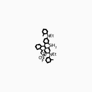 CCN(c1ccc2c(c1)[SiH2]C1=C/C(=[N+](\CC)c3ccccc3C)C=CC1=C2c1ccccc1C(=O)CS(=O)(=O)CF)c1ccccc1C